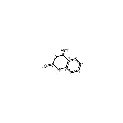 Cl.O=C1Nc2ccccc2CO1